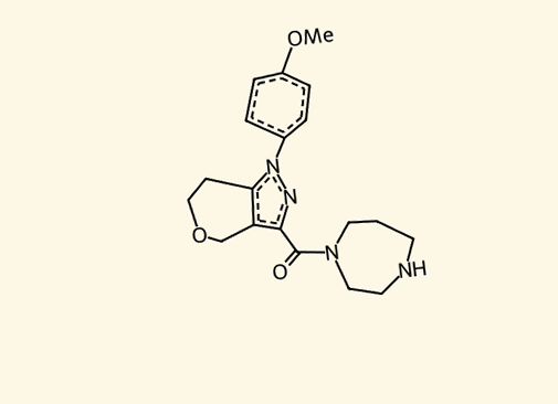 COc1ccc(-n2nc(C(=O)N3CCCNCC3)c3c2CCOC3)cc1